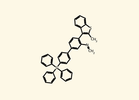 C=Nc1cc(-c2ccc([Si](c3ccccc3)(c3ccccc3)c3ccccc3)cc2)ccc1-c1c(C)sc2ccccc12